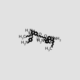 CCCCc1cc2c(N)nc3ccc(NC(=O)CCCC(=O)Nc4ccc5nc(N)c6nc(CCCC)n(Cc7ccc(CN)cc7)c6c5c4)cc3c2n1Cc1ccc(CN)cc1